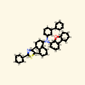 c1ccc(-c2cccc(N(c3ccc4c5c(cccc35)-c3sc(-c5ccccc5)nc3-4)c3cccc4c3oc3ccccc34)c2)cc1